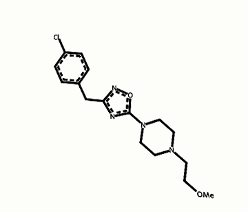 COCCN1CCN(c2nc(Cc3ccc(Cl)cc3)no2)CC1